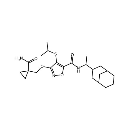 CC(C)Sc1c(OCC2(C(N)=O)CC2)noc1C(=O)NC(C)C1CC2CCCC(C2)C1